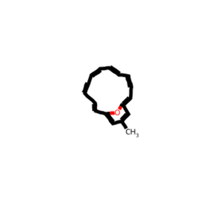 CC1=C\C2=C/C=C\C=C\C=C/C=C/C=C/C(=C1)O2